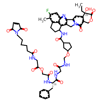 CC[C@@]1(O)C(=O)OCc2c1cc1n(c2=O)Cc2c-1nc1cc(F)c(C)c3c1c2C(NC(=O)C1CCC(OCNC(=O)CNC(=O)[C@H](Cc2ccccc2)NC(=O)COC(=O)CNC(=O)CCCCCN2C(=O)C=CC2=O)C1)CC3